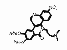 COc1cc2c(=O)n(CCN(C)C)c3c4ccc([N+](=O)[O-])cc4ncc3c2cc1OC